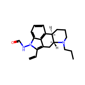 C=Cc1c2c3c(cccc3n1NC=O)[C@H]1CCCN(CCC)[C@@H]1C2